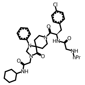 CCCNCC(=O)N[C@H](Cc1ccc(Cl)cc1)C(=O)N1CCC2(CC1)C(=O)N(CC(=O)NC1CCCCC1)CN2c1ccccc1